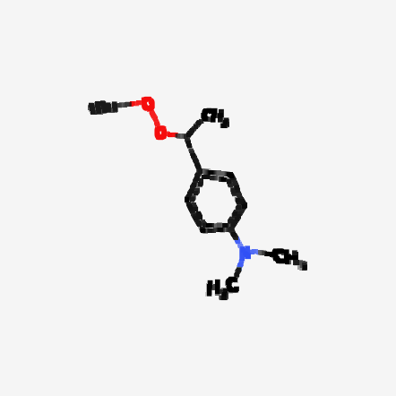 CC(OOC(C)(C)C)c1ccc(N(C)C)cc1